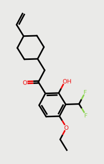 C=CC1CCC(CC(=O)c2ccc(OCC)c(C(F)F)c2O)CC1